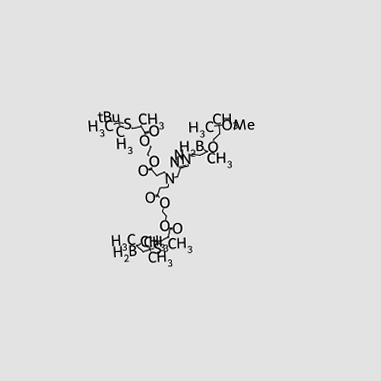 BC(C)(C)CC(C)(C)SCC(C)C(=O)OCCOC(=O)CCN(CCC(=O)OCCOC(=O)C(C)CSC(C)(C)C(C)(C)C)Cc1cn(CCC(B)(C)OCCC(C)(C)OC)nn1